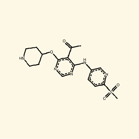 CC(=O)c1c(Nc2ccc(S(C)(=O)=O)nc2)ncnc1OC1CCNCC1